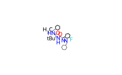 C[C@@H](NC(=O)C(NC(=O)c1nn(CC2CCCCC2)c2c(F)cccc12)C(C)(C)C)c1ccccc1